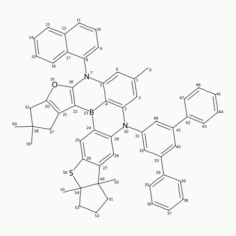 Cc1cc2c3c(c1)N(c1cccc4ccccc14)c1oc4c(c1B3c1cc3c(cc1N2c1cc(-c2ccccc2)cc(-c2ccccc2)c1)C1(C)CCCC1(C)S3)CC(C)(C)C4